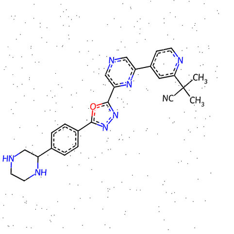 CC(C)(C#N)c1cc(-c2cncc(-c3nnc(-c4ccc(C5CNCCN5)cc4)o3)n2)ccn1